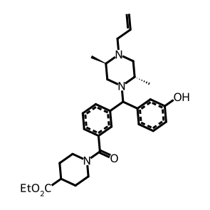 C=CCN1C[C@H](C)N(C(c2cccc(O)c2)c2cccc(C(=O)N3CCC(C(=O)OCC)CC3)c2)C[C@H]1C